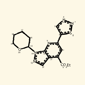 CCOC(=O)c1cc(-c2cnns2)nc2c1cnn2C1CCCCO1